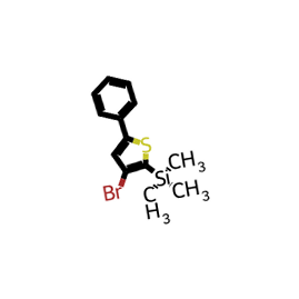 C[Si](C)(C)c1sc(-c2ccccc2)cc1Br